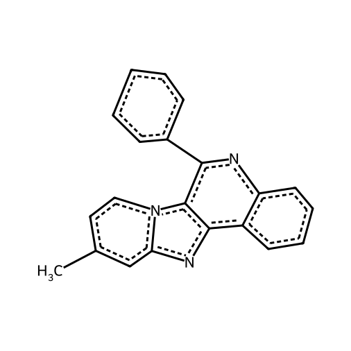 Cc1ccn2c(c1)nc1c3ccccc3nc(-c3ccccc3)c12